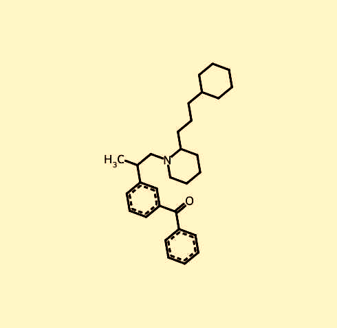 CC(CN1CCCCC1CCCC1CCCCC1)c1cccc(C(=O)c2ccccc2)c1